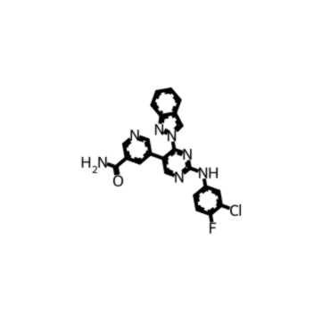 NC(=O)c1cncc(-c2cnc(Nc3ccc(F)c(Cl)c3)nc2-n2cc3ccccc3n2)c1